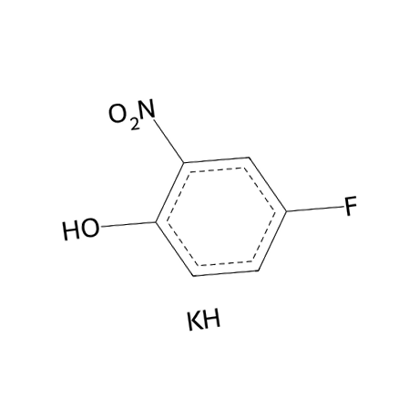 O=[N+]([O-])c1cc(F)ccc1O.[KH]